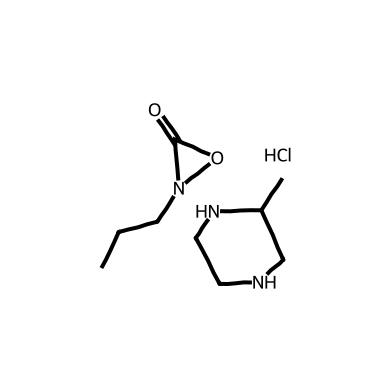 CC1CNCCN1.CCCN1OC1=O.Cl